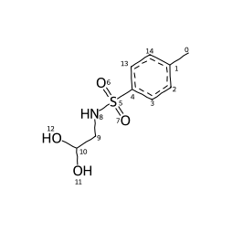 Cc1ccc(S(=O)(=O)NCC(O)O)cc1